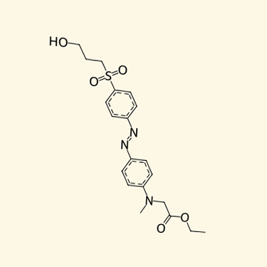 CCOC(=O)CN(C)c1ccc(N=Nc2ccc(S(=O)(=O)CCCO)cc2)cc1